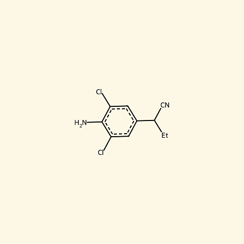 CCC(C#N)c1cc(Cl)c(N)c(Cl)c1